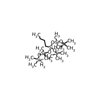 CCCC[Si](O[Si](C)(C)C)(O[Si](C)(C)O[Si](C)(C)C)O[Si](C)(C)O[Si](C)(C)C